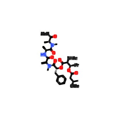 C=C(C(=O)N[C@@H](C)C(=O)N(C)[C@@H](C)C(=O)NC)N(C)C(=O)[C@@H](Cc1ccccc1)OC(=O)[C@@H](NC(C)=O)[C@H](OC(=O)C[C@@H](C)OC)C(C)C